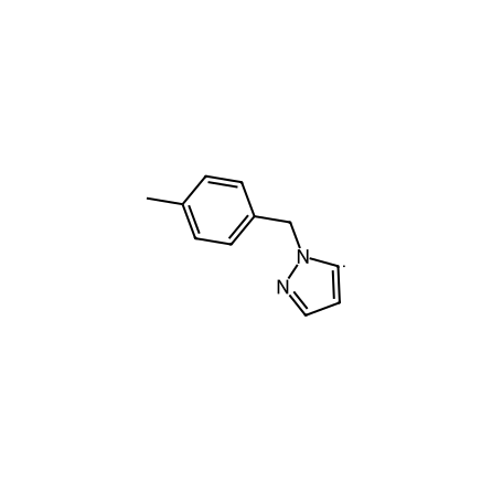 Cc1ccc(Cn2[c]ccn2)cc1